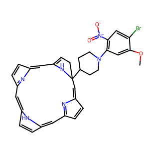 COc1cc(N2CCC(C34C=C5C=CC(=N5)C=c5ccc([nH]5)=CC5=NC(=CC(=CC3)N4)C=C5)CC2)c([N+](=O)[O-])cc1Br